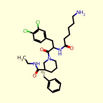 CCNC(=O)[C@]1(Cc2ccccc2)CCCN(C(=O)C(Cc2ccc(Cl)c(Cl)c2)NC(=O)CCCCCN)C1